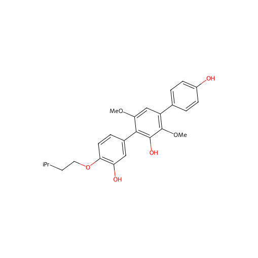 COc1cc(-c2ccc(O)cc2)c(OC)c(O)c1-c1ccc(OCCC(C)C)c(O)c1